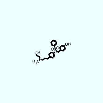 CN(CCO)CCCc1ccc(N(Cc2ccc(O)cc2)S(=O)(=O)c2ccccc2)cc1